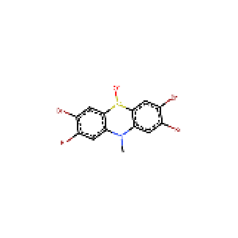 CN1c2cc(Br)c(Br)cc2[S+]([O-])c2cc(Br)c(Br)cc21